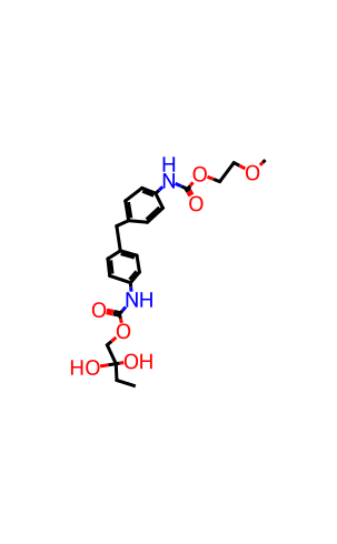 CCC(O)(O)COC(=O)Nc1ccc(Cc2ccc(NC(=O)OCCOC)cc2)cc1